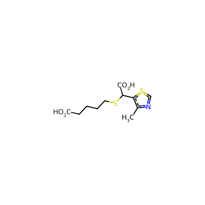 Cc1ncsc1C(SCCCCC(=O)O)C(=O)O